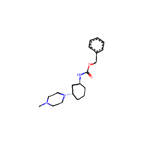 CN1CCN([C@H]2CCC[C@H](NC(=O)OCc3ccccc3)C2)CC1